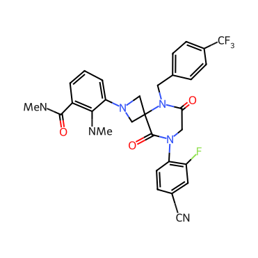 CNC(=O)c1cccc(N2CC3(C2)C(=O)N(c2ccc(C#N)cc2F)CC(=O)N3Cc2ccc(C(F)(F)F)cc2)c1NC